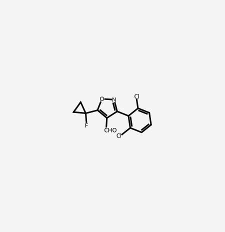 O=Cc1c(-c2c(Cl)cccc2Cl)noc1C1(F)CC1